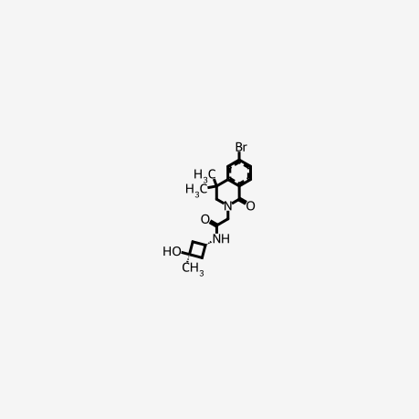 CC1(C)CN(CC(=O)N[C@H]2C[C@](C)(O)C2)C(=O)c2ccc(Br)cc21